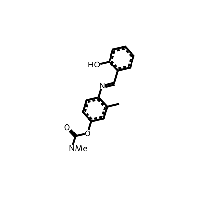 CNC(=O)Oc1ccc(N=Cc2ccccc2O)c(C)c1